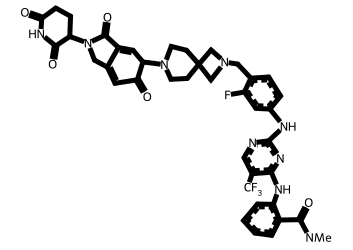 CNC(=O)c1ccccc1Nc1nc(Nc2ccc(CN3CC4(CCN(C5C=C6C(=O)N(C7CCC(=O)NC7=O)CC6=CC5=O)CC4)C3)c(F)c2)ncc1C(F)(F)F